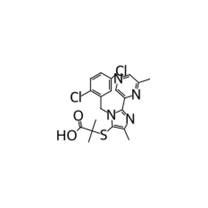 Cc1cncc(-c2nc(C)c(SC(C)(C)C(=O)O)n2Cc2cc(Cl)ccc2Cl)n1